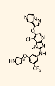 Cn1c(Nc2cc(O[C@H]3CCNC3)cc(C(F)(F)F)c2)nc2ncc(Oc3cnn4ccncc34)c(Cl)c21